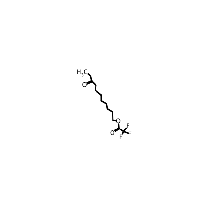 CCC(=O)CCCCCCCCOC(=O)C(F)(F)F